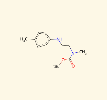 Cc1ccc(NCCN(C)C(=O)OC(C)(C)C)cc1